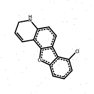 Clc1cccc2oc3c4c(ccc3c12)NCC=C4